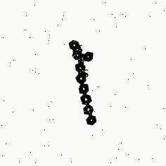 C1=CC(c2ccc(-c3ccc(-c4ccc5c(c4)sc4cc(-n6c7ccccc7c7c8sc9ccccc9c8ccc76)ccc45)cc3)cc2)CC=C1c1ccccc1